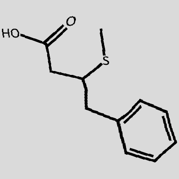 CSC(CC(=O)O)Cc1ccccc1